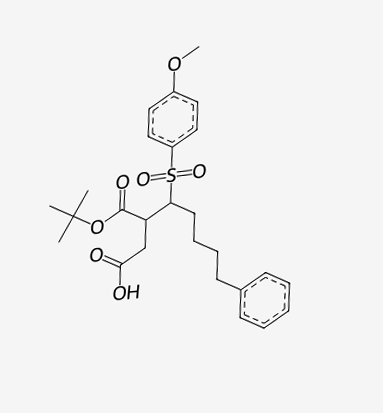 COc1ccc(S(=O)(=O)C(CCCCc2ccccc2)C(CC(=O)O)C(=O)OC(C)(C)C)cc1